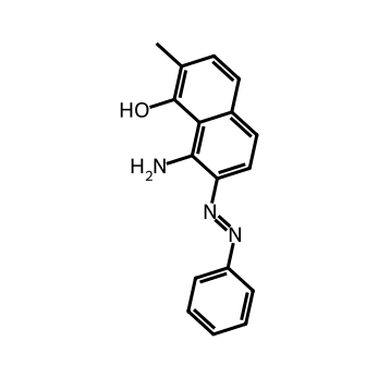 Cc1ccc2ccc(N=Nc3ccccc3)c(N)c2c1O